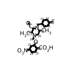 C[C@@H]1C(=C=O)N(Cc2ccc(F)cc2)[C@@H](C)CN1COc1cc([N+](=O)[O-])ccc1C(=O)O